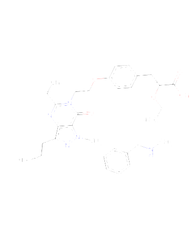 CCCc1nn(C)c2c(=O)n(CCOc3ccc(CC(OCC)C(=O)O)cc3)c(CC)nc12.CNCc1ccccc1